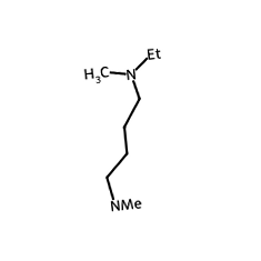 CCN(C)CCCCNC